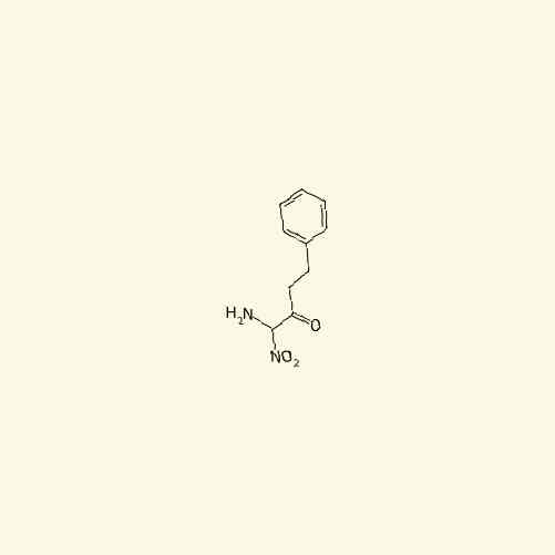 NC(C(=O)CCc1ccccc1)[N+](=O)[O-]